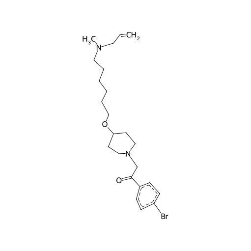 C=CCN(C)CCCCCCOC1CCN(CC(=O)c2ccc(Br)cc2)CC1